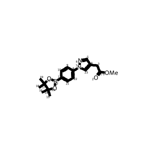 COC(=O)Cc1cnn(-c2ccc(B3OC(C)(C)C(C)(C)O3)cc2)c1